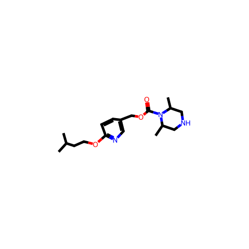 CC(C)CCOc1ccc(COC(=O)N2C(C)CNCC2C)cn1